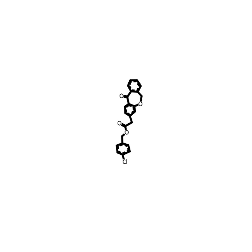 O=C(Cc1ccc2c(c1)OCc1ccccc1C2=O)OCc1ccc(Cl)cc1